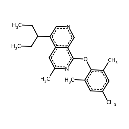 CCC(CC)c1cncc2c(Oc3c(C)cc(C)cc3C)nc(C)cc12